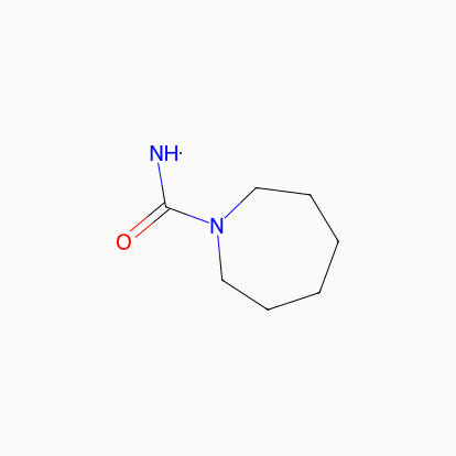 [NH]C(=O)N1CCCCCC1